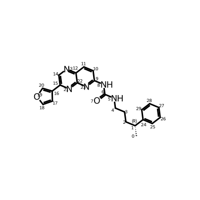 C[C@H](CCCNC(=O)Nc1ccc2ncc(-c3ccoc3)nc2n1)c1ccccc1